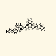 C=C/C=C\C1=C(C)C(CC)C(/C=C\C(=N)c2ccc3c4ccc(-c5ccc6ccccc6c5)cc4c4ccccc4c3c2)CC1